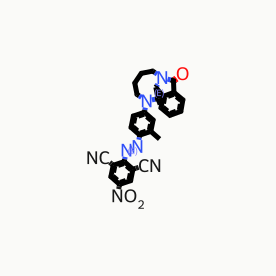 C/C1=C2/c3ccccc3C(=O)N2CCCCN1c1ccc(/N=N/c2c(C#N)cc([N+](=O)[O-])cc2C#N)c(C)c1